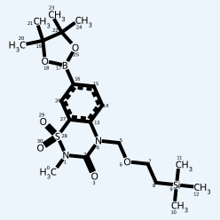 CN1C(=O)N(COCC[Si](C)(C)C)c2ccc(B3OC(C)(C)C(C)(C)O3)cc2S1(=O)=O